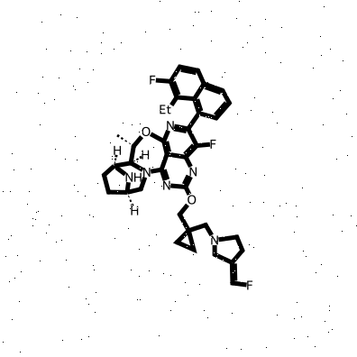 CCc1c(F)ccc2cccc(-c3nc4c5c(nc(OCC6(CN7CC/C(=C\F)C7)CC6)nc5c3F)N3C[C@H]5CC[C@H](N5)[C@H]3[C@H](C)O4)c12